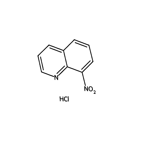 Cl.O=[N+]([O-])c1cccc2cccnc12